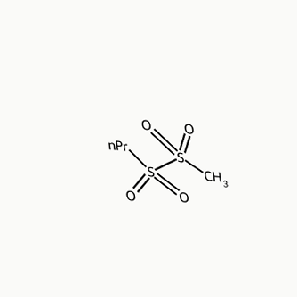 CCCS(=O)(=O)S(C)(=O)=O